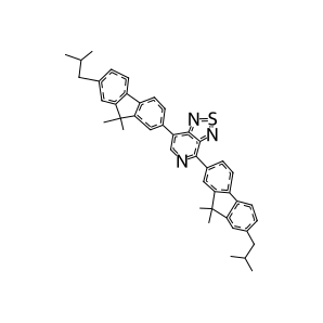 CC(C)Cc1ccc2c(c1)C(C)(C)c1cc(-c3cnc(-c4ccc5c(c4)C(C)(C)c4cc(CC(C)C)ccc4-5)c4nsnc34)ccc1-2